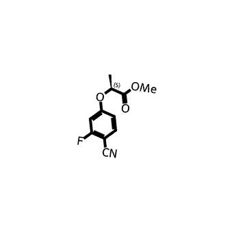 COC(=O)[C@H](C)Oc1ccc(C#N)c(F)c1